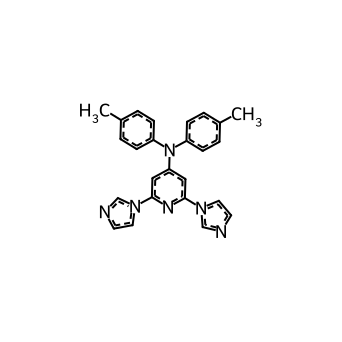 Cc1ccc(N(c2ccc(C)cc2)c2cc(-n3ccnc3)nc(-n3ccnc3)c2)cc1